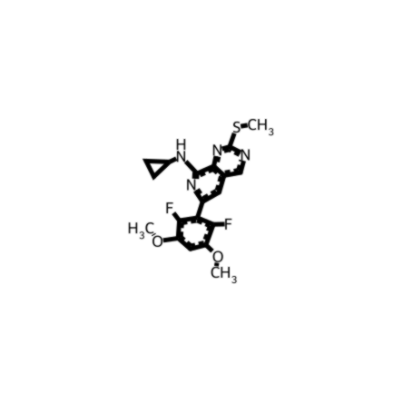 COc1cc(OC)c(F)c(-c2cc3cnc(SC)nc3c(NC3CC3)n2)c1F